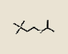 CC(C)OCCS(C)(C)C